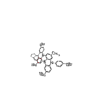 Cc1cc2c3c(c1)N(c1ccc(C(C)(C)C)cc1-c1c4c(cc5c1CCC5)CCC4)c1ccc(C(C)(C)C)cc1B3c1cc(C(C)(C)C)ccc1N2c1ccc(C(C)(C)C)cc1